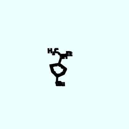 CC[SH](C)c1ccc(C(C)(C)C)cc1